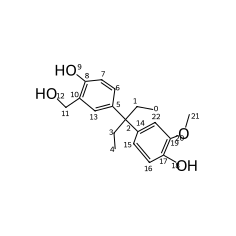 CCC(CC)(c1ccc(O)c(CO)c1)c1ccc(O)c(OC)c1